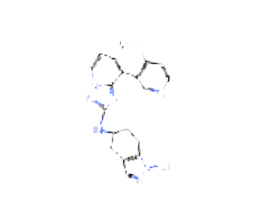 CCn1ncc2c1CCC(Nc1nc3c(-c4cnccc4OC)cccn3n1)C2